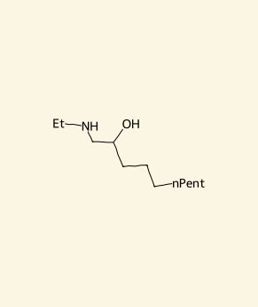 CCCCCCCCC(O)CNCC